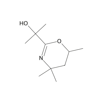 CC1CC(C)(C)N=C(C(C)(C)O)O1